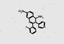 Nc1ccc2c(c1)N=C(c1ccccc1F)N(c1ccncc1)C2N